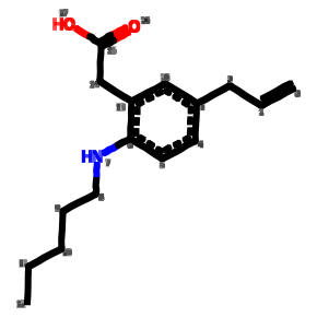 C=CCc1ccc(NCCCCC)c(CC(=O)O)c1